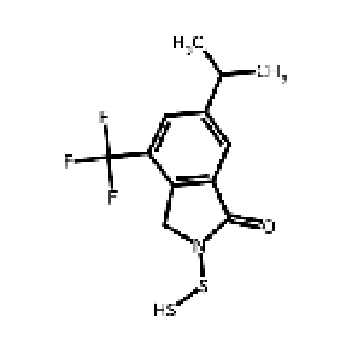 CC(C)c1cc2c(c(C(F)(F)F)c1)CN(SS)C2=O